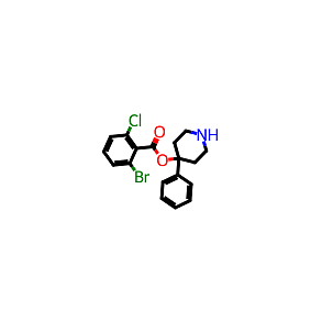 O=C(OC1(c2ccccc2)CCNCC1)c1c(Cl)cccc1Br